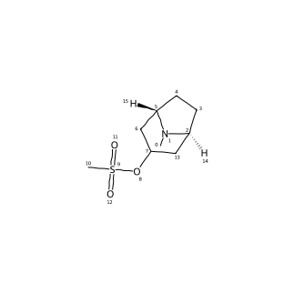 CN1[C@H]2CC[C@H]1CC(OS(C)(=O)=O)C2